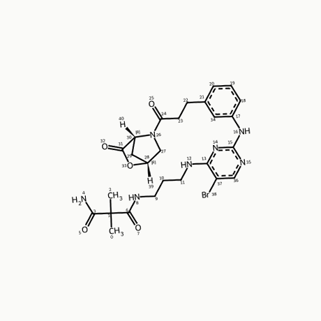 CC(C)(C(N)=O)C(=O)NCCCNc1nc(Nc2cccc(CCC(=O)N3C[C@H]4C[C@@H]3C(=O)O4)c2)ncc1Br